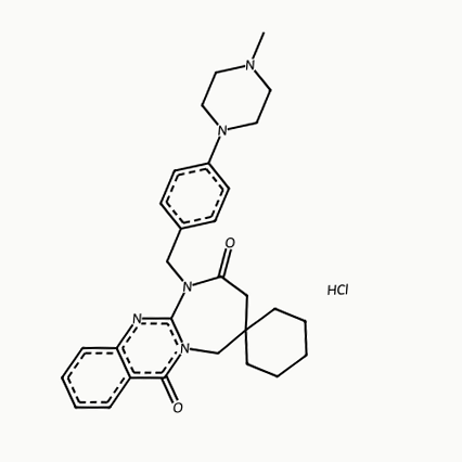 CN1CCN(c2ccc(CN3C(=O)CC4(CCCCC4)Cn4c3nc3ccccc3c4=O)cc2)CC1.Cl